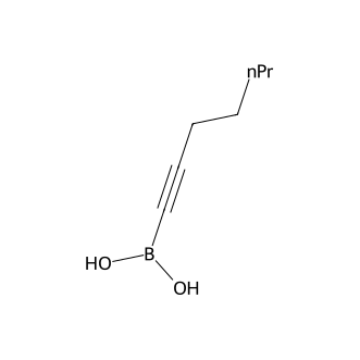 CCCCCC#CB(O)O